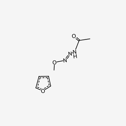 CON=NNC(C)=O.c1ccoc1